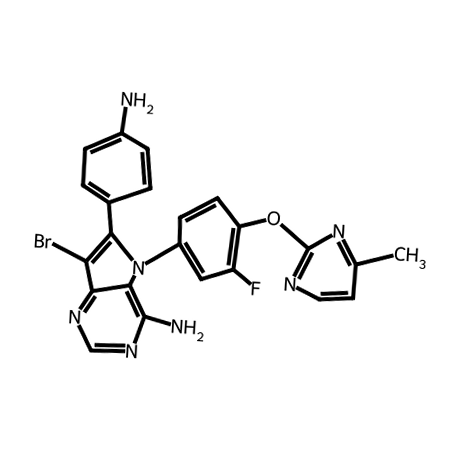 Cc1ccnc(Oc2ccc(-n3c(-c4ccc(N)cc4)c(Br)c4ncnc(N)c43)cc2F)n1